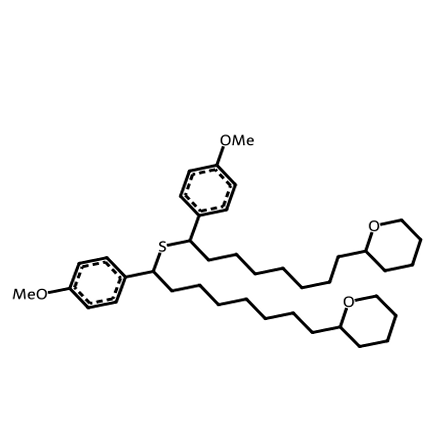 COc1ccc(C(CCCCCCCC2CCCCO2)SC(CCCCCCCC2CCCCO2)c2ccc(OC)cc2)cc1